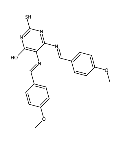 COc1ccc(C=Nc2nc(S)nc(O)c2N=Cc2ccc(OC)cc2)cc1